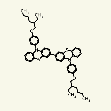 CCCCC(CC)COc1ccc(N2c3ccccc3Sc3cc(-c4ccc5c(c4)Sc4ccccc4N5c4ccc(OCC(CC)CCCC)cc4)ccc32)cc1